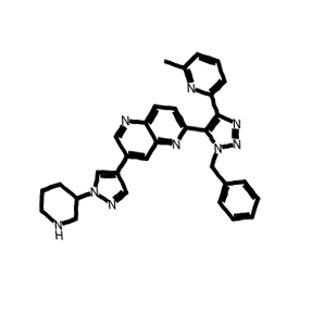 Cc1cccc(-c2nnn(Cc3ccccc3)c2-c2ccc3ncc(-c4cnn(C5CCCNC5)c4)cc3n2)n1